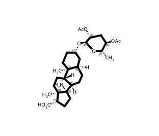 CC(=O)O[C@@H]1C[C@@H](OC(C)=O)[C@H](C)O[C@H]1O[C@H]1CC[C@@]2(C)[C@H](CC[C@@H]3[C@@H]2CC[C@]2(C)[C@@H](C(=O)O)CC[C@]32N)C1